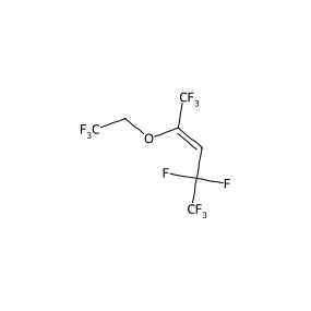 FC(F)(F)CO/C(=C\C(F)(F)C(F)(F)F)C(F)(F)F